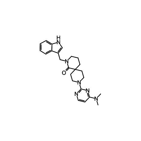 CN(C)c1ccnc(N2CCC3(CCCN(Cc4c[nH]c5ccccc45)C3=O)CC2)n1